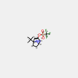 CC(C)(C)C12C=C(OS(=O)(=O)C(F)(F)F)CC(CC1)N2